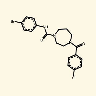 O=C(Nc1ccc(Br)cc1)N1CCCN(C(=O)c2ccc(Cl)cc2)CC1